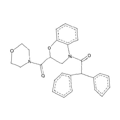 O=C(C1CN(C(=O)C(c2ccccc2)c2ccccc2)c2ccccc2O1)N1CCOCC1